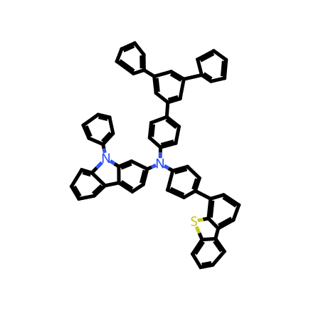 c1ccc(-c2cc(-c3ccccc3)cc(-c3ccc(N(c4ccc(-c5cccc6c5sc5ccccc56)cc4)c4ccc5c6ccccc6n(-c6ccccc6)c5c4)cc3)c2)cc1